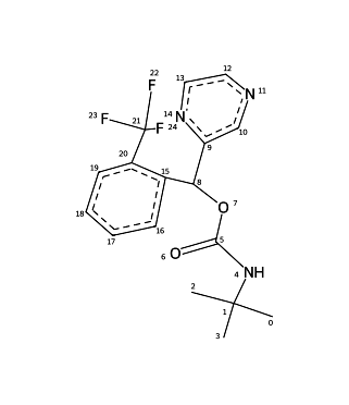 CC(C)(C)NC(=O)OC(c1cnccn1)c1ccccc1C(F)(F)F